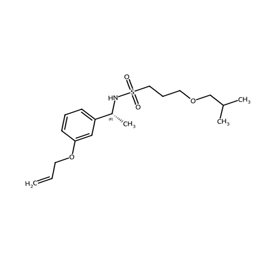 C=CCOc1cccc([C@@H](C)NS(=O)(=O)CCCOCC(C)C)c1